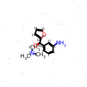 CN(C)C.Nc1cccc(C(=O)c2ccco2)c1